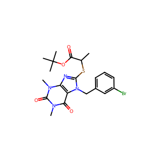 CC(Sc1nc2c(c(=O)n(C)c(=O)n2C)n1Cc1cccc(Br)c1)C(=O)OC(C)(C)C